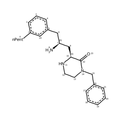 CCCCCc1cccc(C[C@H](N)C[C@@H]2NCCN(Cc3ccccc3)C2=O)c1